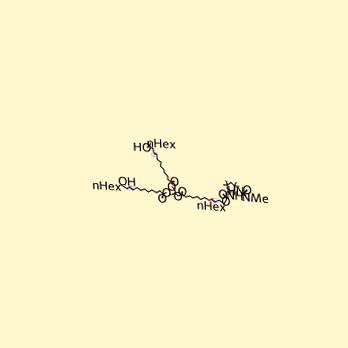 CCCCCCC(O)C/C=C/CCCCCCCC(=O)OCC(COC(=O)CCCCCCC/C=C/CC(O)CCCCCC)OC(=O)CCCCCCC/C=C/CC(CCCCCC)OC(=O)NC1CC(C)(C)CC(C)(CNC(=O)NC)C1